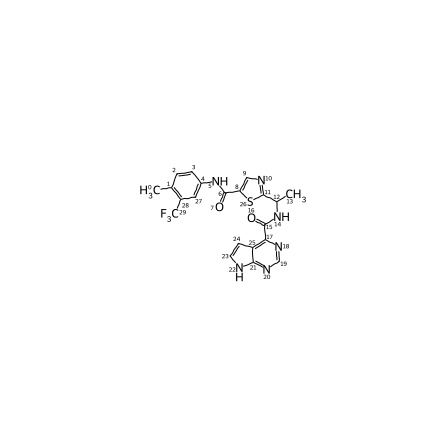 Cc1ccc(NC(=O)c2cnc(C(C)NC(=O)c3ncnc4[nH]ccc34)s2)cc1C(F)(F)F